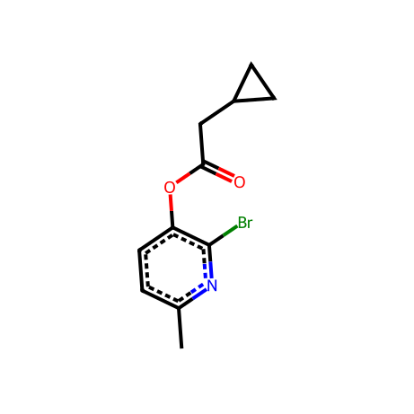 Cc1ccc(OC(=O)CC2CC2)c(Br)n1